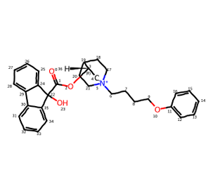 O=C(O[C@H]1C[N+]2(CCCCOc3ccccc3)CCC1CC2)C1(O)c2ccccc2-c2ccccc21